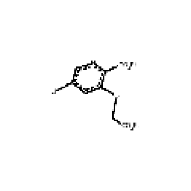 CCOC(=O)COc1cc(Cl)cnc1C(=O)OCC